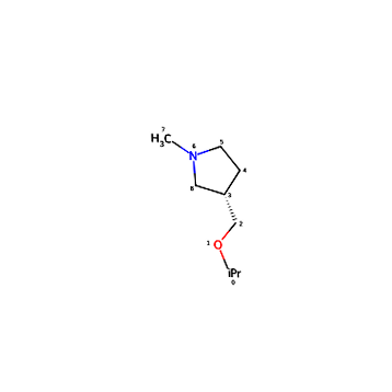 CC(C)OC[C@H]1CCN(C)C1